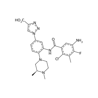 Cc1c(F)c(N)cc(C(=O)Nc2cc(-n3cc(C(=O)O)nn3)ccc2N2CCN(C)[C@@H](C)C2)c1Cl